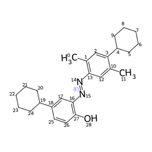 Cc1cc(C2CCCCC2)c(C)cc1/N=N/c1cc(C2CCCCC2)ccc1O